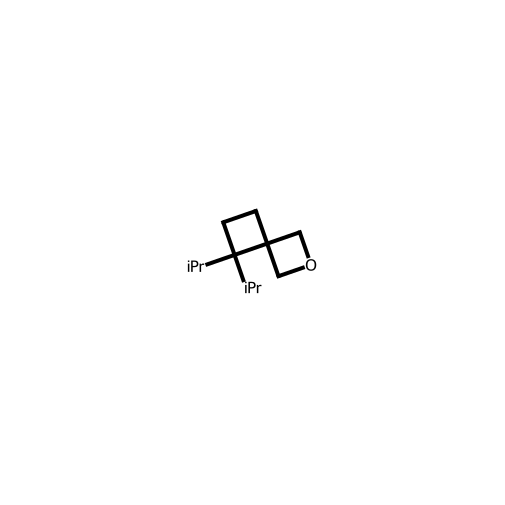 CC(C)C1(C(C)C)CCC12COC2